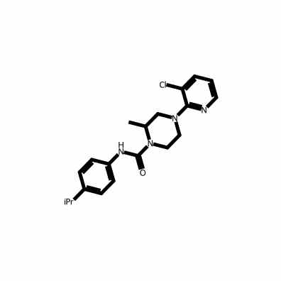 CC(C)c1ccc(NC(=O)N2CCN(c3ncccc3Cl)CC2C)cc1